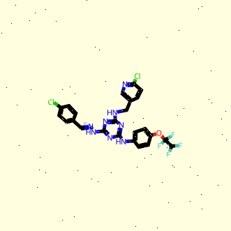 FC(F)C(F)(F)Oc1ccc(Nc2nc(NCc3ccc(Cl)nc3)nc(N/N=C/c3ccc(Cl)cc3)n2)cc1